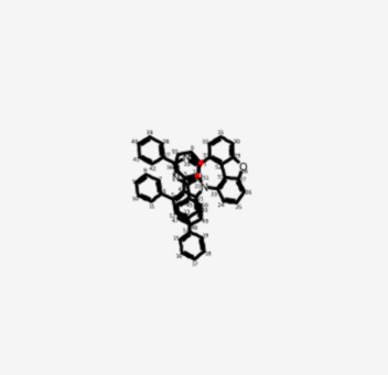 C1=Cc2c(c3c(-c4ccccc4)cc(-c4ccccc4)cc3n2-c2cccc3oc4cccc(-c5nc(-c6ccccc6)nc(-c6ccccc6)n5)c4c23)CC1